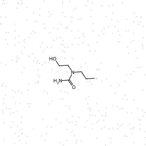 [CH2]CCN(CCO)C(N)=O